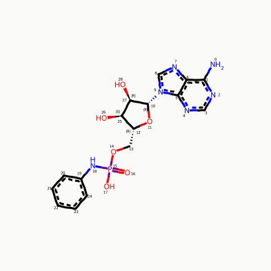 Nc1ncnc2c1ncn2[C@@H]1O[C@H](COP(=O)(O)Nc2ccccc2)[C@@H](O)[C@H]1O